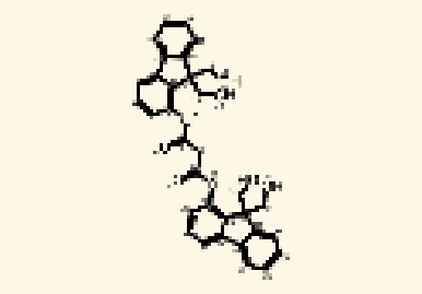 O=C(CC(=O)Oc1cccc2c1C(CO)(CO)c1ccccc1-2)Oc1cccc2c1C(CO)(CO)c1ccccc1-2